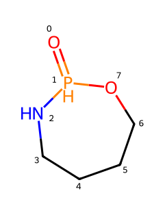 O=[PH]1NCCCCO1